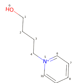 OCCCC[n+]1ccccc1